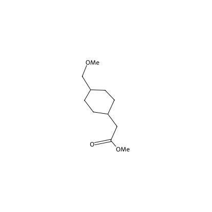 COCC1CCC(CC(=O)OC)CC1